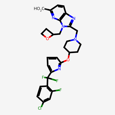 O=C(O)c1ccc2nc(CN3CCC(Oc4cccc(C(F)(F)c5ccc(Cl)cc5F)n4)CC3)n(CC3CCO3)c2n1